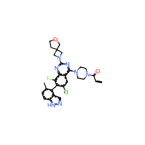 C=CC(=O)N1CCN(c2nc(N3CC4(CCOC4)C3)nc3c(F)c(-c4c(C)ccc5[nH]ncc45)c(Cl)cc23)CC1